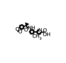 Cc1ccc(NC(=O)C2(c3ccc4c(c3)OCO4)CC2)cc1-c1ccc(C(=O)O)nc1